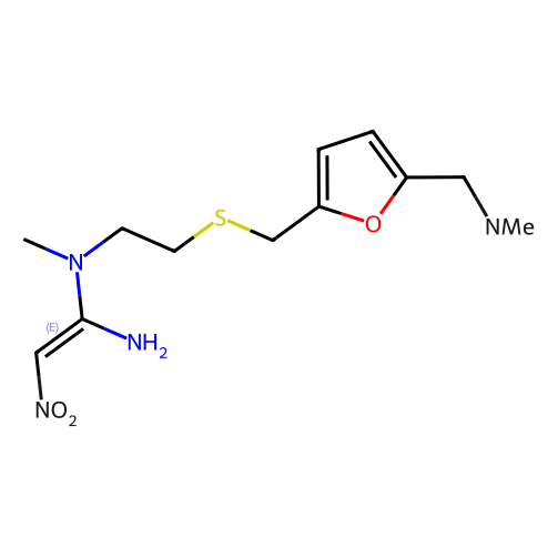 CNCc1ccc(CSCCN(C)/C(N)=C/[N+](=O)[O-])o1